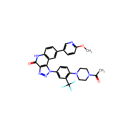 COc1ccc(-c2ccc3[nH]c(=O)c4nnn(-c5ccc(N6CCN(C(C)=O)CC6)c(C(F)(F)F)c5)c4c3c2)cn1